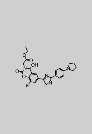 CCOC(=O)CN1C(=O)Oc2c(F)cc(-c3nc(-c4ccc(N5CCCC5)cc4)ns3)cc2C1O